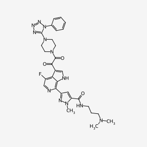 CN(C)CCCNC(=O)c1cc(-c2ncc(F)c3c(C(=O)C(=O)N4CCN(c5nnnn5-c5ccccc5)CC4)c[nH]c23)nn1C